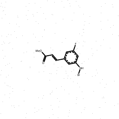 COC(=O)/C=C/c1cc(F)cc(NBr)c1